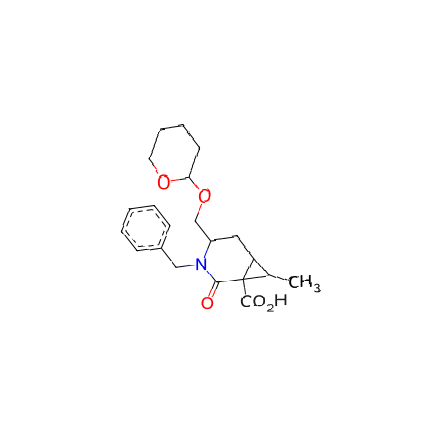 CC1C2CC(COC3CCCCO3)N(Cc3ccccc3)C(=O)C12C(=O)O